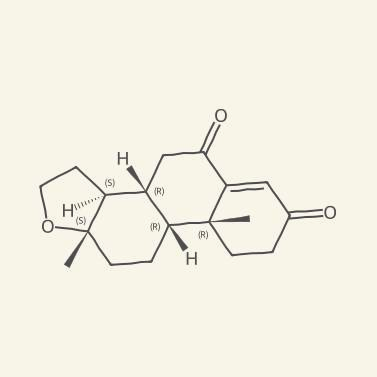 C[C@]12CCC(=O)C=C1C(=O)C[C@@H]1[C@H]2CC[C@]2(C)OCC[C@@H]12